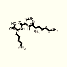 NCCCC[C@H](NC(=O)[C@H](CS)NC(=O)[C@@H](N)CCCCN)C(=O)O